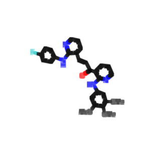 COc1cc(Nc2ncccc2C(=O)C=Cc2cccnc2Nc2ccc(F)cc2)cc(OC)c1OC